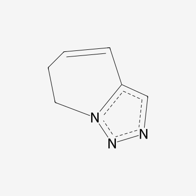 C1=Cc2cnnn2CC1